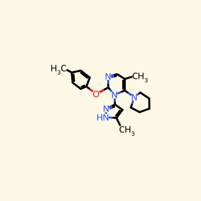 CC1=C(N2CCCCC2)N(c2cc(C)[nH]n2)C(Oc2ccc(C)cc2)N=C1